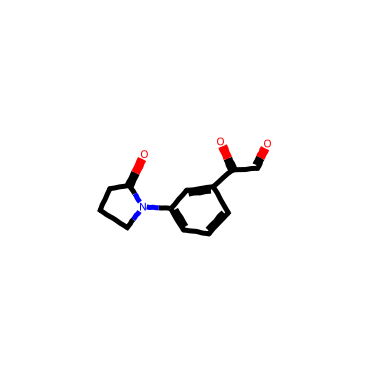 O=CC(=O)c1cccc(N2CCCC2=O)c1